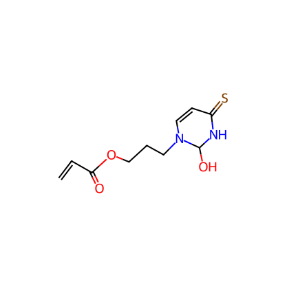 C=CC(=O)OCCCN1C=CC(=S)NC1O